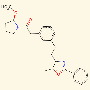 Cc1oc(-c2ccccc2)nc1CCc1cccc(CC(=O)N2CCC[C@H]2OC(=O)O)c1